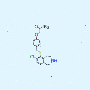 CC(C)(C)C(=O)COc1ccc(CSc2c(Cl)ccc3c2CCNCC3)cc1